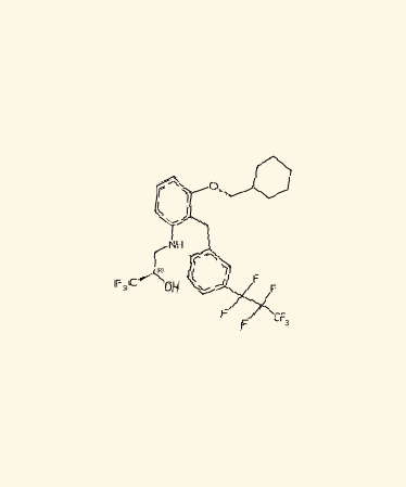 O[C@H](CNc1cccc(OCC2CCCCC2)c1Cc1cccc(C(F)(F)C(F)(F)C(F)(F)F)c1)C(F)(F)F